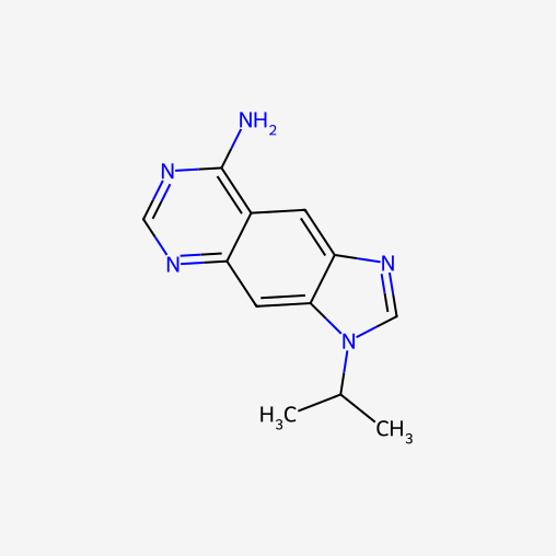 CC(C)n1cnc2cc3c(N)ncnc3cc21